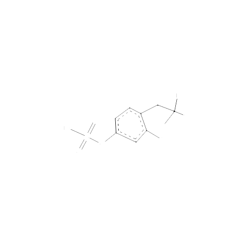 O=S(=O)(O)Oc1ccc(CC(F)(F)F)c(F)c1